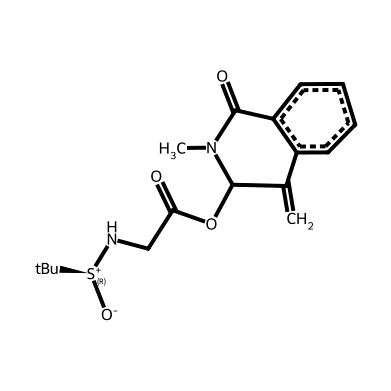 C=C1c2ccccc2C(=O)N(C)C1OC(=O)CN[S@@+]([O-])C(C)(C)C